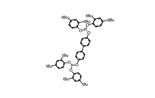 CC(C)(C)c1ccc(OP(Oc2ccc(-c3ccc(OP(Oc4ccc(C(C)(C)C)cc4C(C)(C)C)Oc4ccc(C(C)(C)C)cc4C(C)(C)C)cc3)cc2)Oc2ccc(C(C)(C)C)cc2C(C)(C)C)c(C(C)(C)C)c1